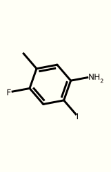 Cc1cc(N)c(I)cc1F